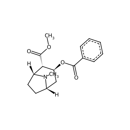 COC(=O)[C@@H]1[C@@H](OC(=O)c2ccccc2)C[C@@H]2CC[C@H]1N2C